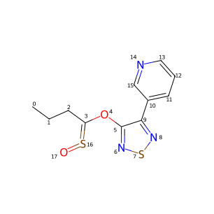 CCCC(Oc1nsnc1-c1cccnc1)=S=O